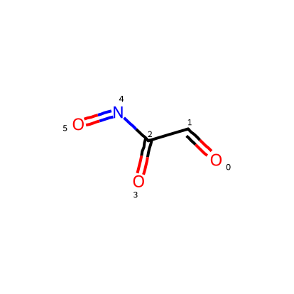 O=CC(=O)N=O